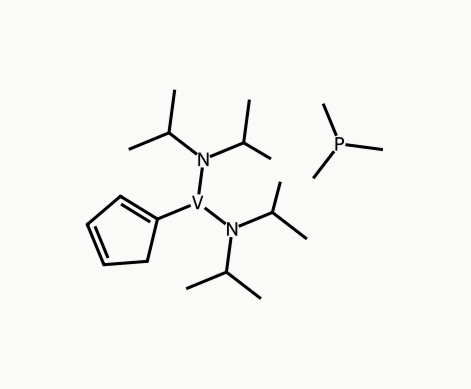 CC(C)[N](C(C)C)[V]([C]1=CC=CC1)[N](C(C)C)C(C)C.CP(C)C